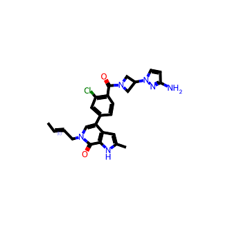 C/C=C/Cn1cc(-c2ccc(C(=O)N3CC(n4ccc(N)n4)C3)c(Cl)c2)c2cc(C)[nH]c2c1=O